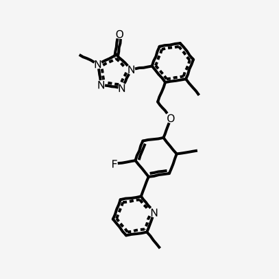 Cc1cccc(C2=CC(C)C(OCc3c(C)cccc3-n3nnn(C)c3=O)C=C2F)n1